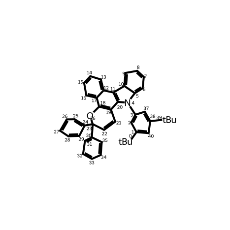 CC(C)(C)c1cc(-n2c3ccccc3c3c4ccccc4c4c(c32)C=CC(c2ccccc2)(c2ccccc2)O4)cc(C(C)(C)C)c1